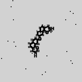 c1cc2ccc3c(c2cc1Oc1ccc2ccc4c(c2c1)OCNC4)OCNC3